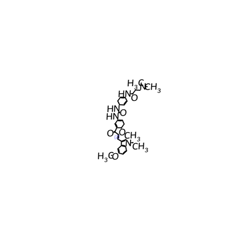 CCn1c(C)c(/C=C2\OC3CC=C(NC(=O)NC4C=CC(NC(=O)CCN(C)C)=CC4)C=C3C2=O)c2cc(OC)ccc21